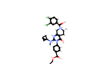 CCOC(=O)c1ccc(-n2c(N(C)C34CC(C3)C4)nc3c(c2=O)C[C@@H](C)N(C(=O)c2ccc(Cl)c(Cl)c2)C3)cc1